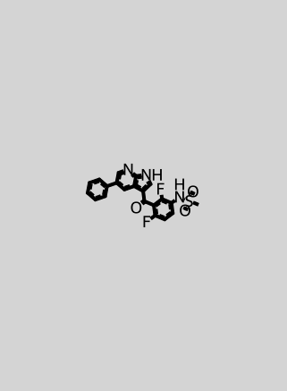 CS(=O)(=O)Nc1ccc(F)c(C(=O)c2c[nH]c3ncc(-c4ccccc4)cc23)c1F